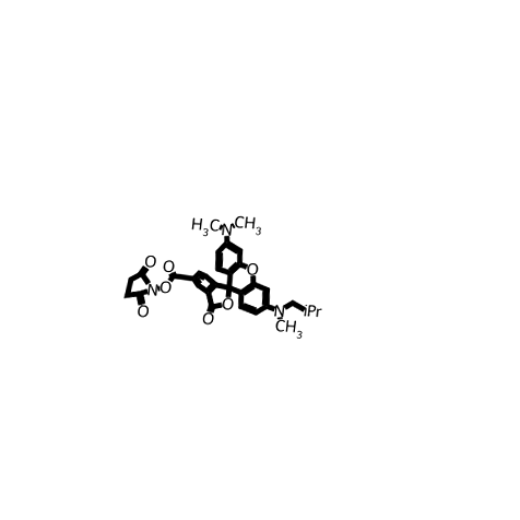 CC(C)CN(C)c1ccc2c(c1)Oc1cc(N(C)C)ccc1C21OC(=O)c2cc(C(=O)ON3C(=O)CCC3=O)ccc21